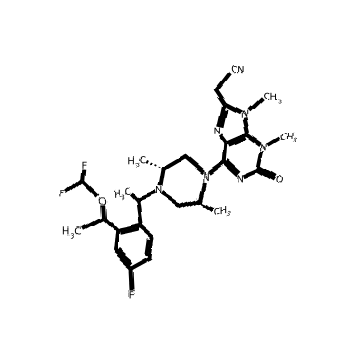 CC(OC(F)F)c1cc(F)ccc1C(C)N1C[C@H](C)N(c2nc(=O)n(C)c3c2nc(CC#N)n3C)C[C@H]1C